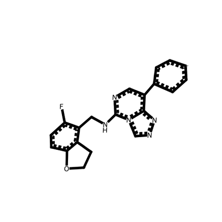 Fc1ccc2c(c1CNc1ncc(-c3cc[c]cc3)c3nncn13)CCO2